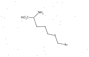 CC(=O)CSCCCC(N)C(=O)O